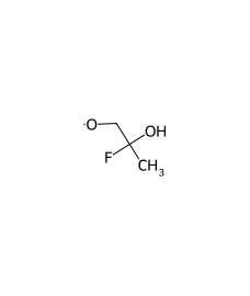 CC(O)(F)C[O]